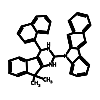 CC1(C)C2=C(c3ccccc31)C(c1cccc3ccccc13)NC(n1c3ccccc3c3cc4ccccc4cc31)N2